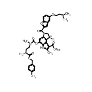 CC[C@@H]1CN(C(=O)c2cc3cc(OCCN(C)C)ccc3o2)c2cc(OC(=O)N(C)CCN(C)C(=O)OCc3ccc(C)cc3)c3[nH]c(C)c(C(=O)OC)c3c21